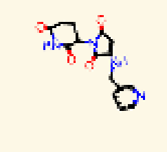 O=C1CCC(N2C(=O)C=C(NCc3cccnc3)C2=O)C(=O)N1